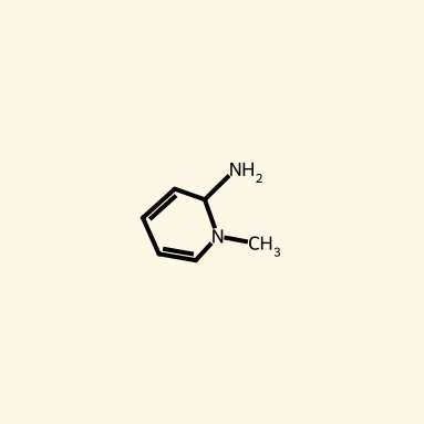 CN1C=CC=CC1N